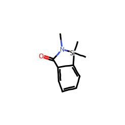 CN1C(=O)c2ccccc2[Si]1(C)C